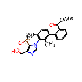 CCC(C)c1ccc(-c2ccccc2C(=O)OC)c(C)c1-n1cnc(CO)c1[S+]([O-])CC